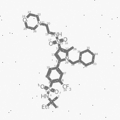 CCC(C)(C)NS(=O)(=O)c1ccc(-c2cc(S(=O)(=O)NCCN3CCOCC3)c(C)n2CC2CCCCC2)cc1C(F)(F)F